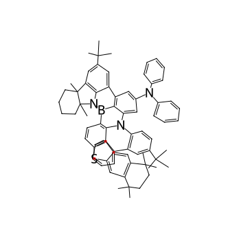 CC(C)(C)c1ccc(N2c3cc(N(c4ccccc4)c4ccccc4)cc4c3B(c3ccc5sc6cc7c(cc6c5c32)C(C)(C)CCC7(C)C)N2c3c-4cc(C(C)(C)C)cc3C3(C)CCCCC23C)c(-c2ccccc2)c1